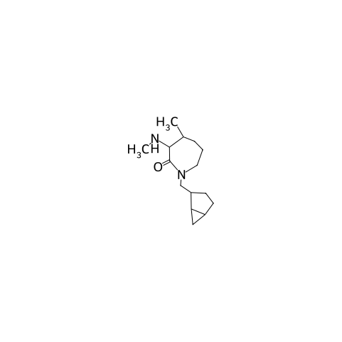 CNC1C(=O)N(CC2CCC3CC32)CCCC1C